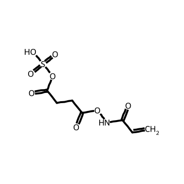 C=CC(=O)NOC(=O)CCC(=O)OS(=O)(=O)O